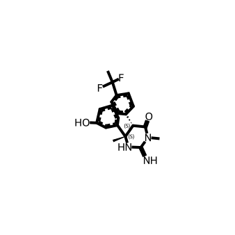 CN1C(=N)N[C@](C)(c2cccc(O)c2)[C@H](c2ccc(C(C)(F)F)cc2)C1=O